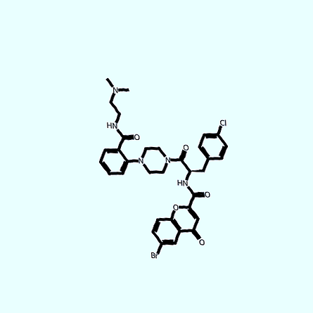 CN(C)CCNC(=O)c1ccccc1N1CCN(C(=O)[C@@H](Cc2ccc(Cl)cc2)NC(=O)c2cc(=O)c3cc(Br)ccc3o2)CC1